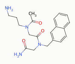 CC(=O)N(CCCN)CC(=O)N(CC(N)=O)Cc1ccc2ccccc2c1